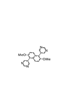 COc1ccc2c(-c3cncnc3)c(OC)ccc2c1-c1cncnc1